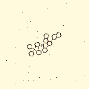 c1ccc(C2(c3ccccc3)c3ccccc3-c3c(N(c4ccc5ccccc5c4)c4ccccc4-c4ccc(-c5ccc6ccccc6c5)cc4)cccc32)cc1